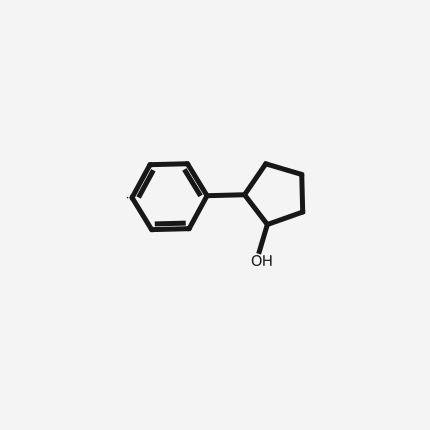 OC1CCCC1c1cc[c]cc1